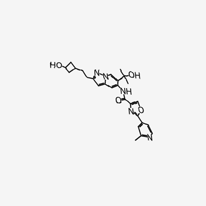 Cc1cc(-c2nc(C(=O)Nc3cc4cc(CCC5CC(O)C5)nn4cc3C(C)(C)O)co2)ccn1